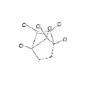 ClC1=C(Cl)C2(Cl)[CH][CH]C1(Cl)C2(Cl)Cl